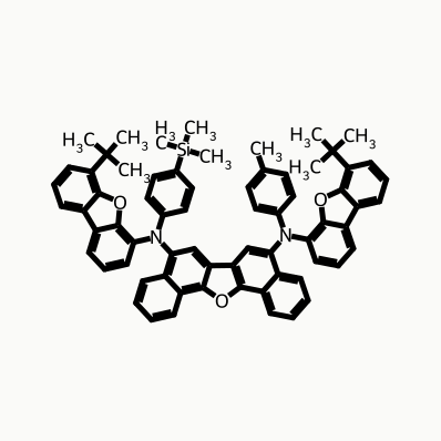 Cc1ccc(N(c2cc3c4cc(N(c5ccc([Si](C)(C)C)cc5)c5cccc6c5oc5c(C(C)(C)C)cccc56)c5ccccc5c4oc3c3ccccc23)c2cccc3c2oc2c(C(C)(C)C)cccc23)cc1